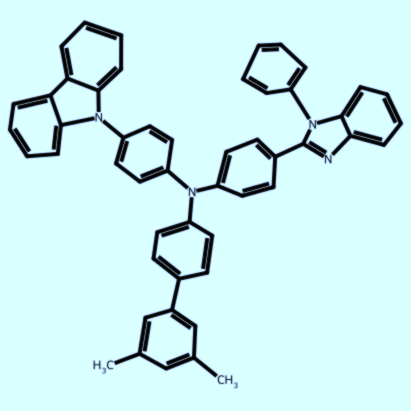 Cc1cc(C)cc(-c2ccc(N(c3ccc(-c4nc5ccccc5n4-c4ccccc4)cc3)c3ccc(-n4c5ccccc5c5ccccc54)cc3)cc2)c1